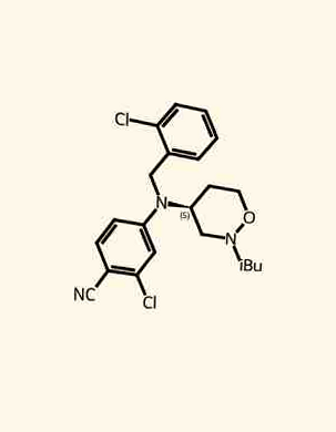 CCC(C)N1C[C@@H](N(Cc2ccccc2Cl)c2ccc(C#N)c(Cl)c2)CCO1